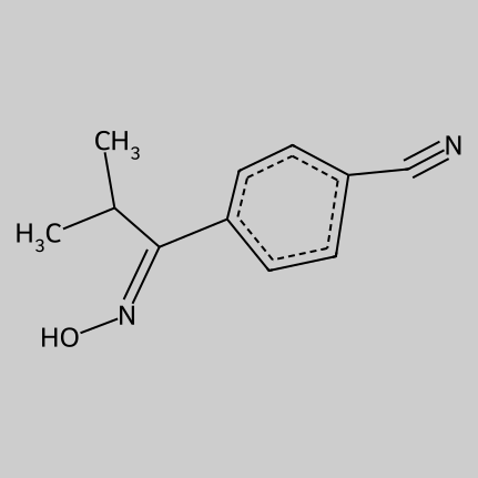 CC(C)C(=NO)c1ccc(C#N)cc1